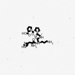 C[C@H](NC(=O)[C@H](CCCCN)NC(=O)[C@@H](N)Cc1c[nH]cn1)C(=O)N1CCC[C@H]1C(=O)N1CCC[C@H]1C(=O)O